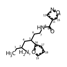 CCC(N)CC(CCNC(=O)c1cnoc1)c1ccco1